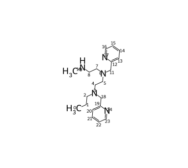 CCCN(CCN(CCNC)Cc1ccccn1)Cc1ccccn1